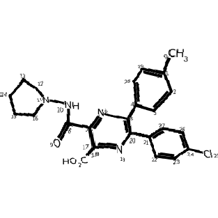 Cc1ccc(-c2nc(C(=O)NN3CCCCC3)c(C(=O)O)nc2-c2ccc(Cl)cc2)cc1